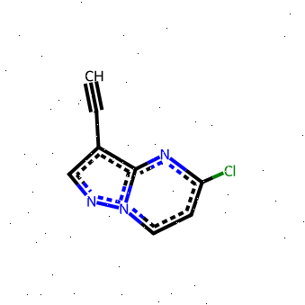 C#Cc1cnn2ccc(Cl)nc12